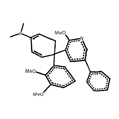 COc1cccc(C2(c3cc(-c4ccccc4)cnc3OC)C=CC(N(C)C)=CC2)c1OC